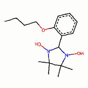 CCCCOc1ccccc1C1N(O)C(C)(C)C(C)(C)N1O